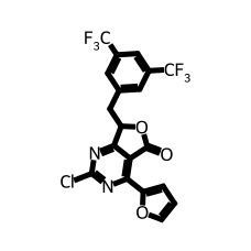 O=C1OC(Cc2cc(C(F)(F)F)cc(C(F)(F)F)c2)c2nc(Cl)nc(-c3ccco3)c21